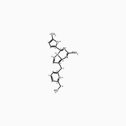 Cc1ccc(-c2nc(N)nc3c(Cc4cccc(CO)n4)cnn23)o1